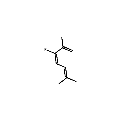 C=C(C)/C(F)=C\C=C(C)C